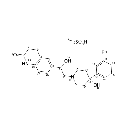 CS(=O)(=O)O.O=C1CCc2cc(C(O)CN3CCC(O)(c4cccc(F)c4)CC3)ccc2N1